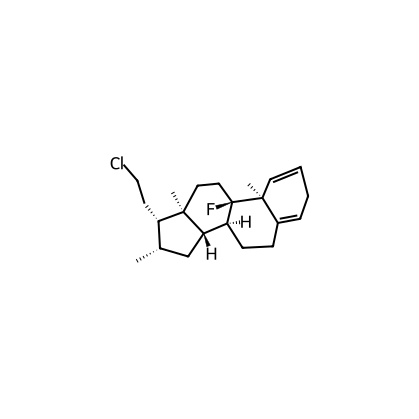 C[C@H]1C[C@H]2[C@@H]3CCC4=CCC=C[C@]4(C)[C@@]3(F)CC[C@]2(C)[C@H]1CCCl